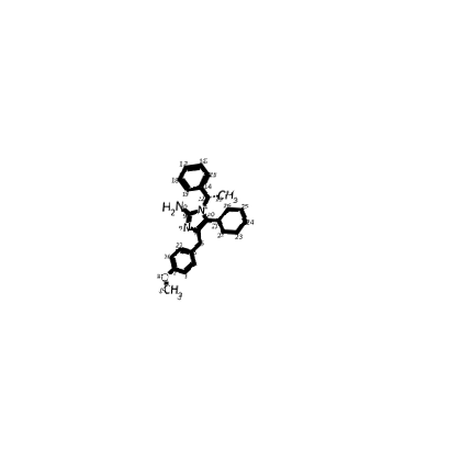 COc1ccc(Cc2nc(N)n([C@@H](C)c3ccccc3)c2C2CCCCC2)cc1